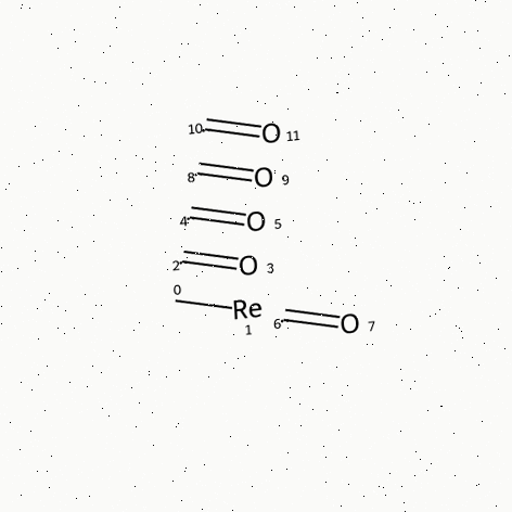 [CH3][Re].[C]=O.[C]=O.[C]=O.[C]=O.[C]=O